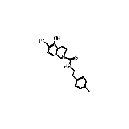 Cc1ccc(CCNC(=S)N2CCc3c(ccc(O)c3O)C2)cc1